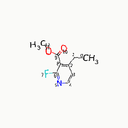 CCc1ccnc(F)c1C(=O)OC